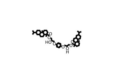 CC(C)C1CCC2C(CCC3C(C)(C(=O)OCC(O)COc4ccc(OCC(O)COC(=O)C5(C)CCCC6(C)C7CCC(C(C)C)CC7CCC56)cc4)CCCC23C)C1